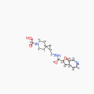 O=C(NCC1CC12CCN(C(=O)O)CC2)c1cc2ccncc2o1